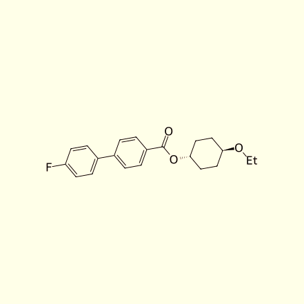 CCO[C@H]1CC[C@H](OC(=O)c2ccc(-c3ccc(F)cc3)cc2)CC1